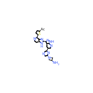 CC(=O)c1ccc(-c2nccc3[nH]c(-c4n[nH]c5ncc(-c6cncc(N7CC(N)C7)n6)cc45)nc23)s1